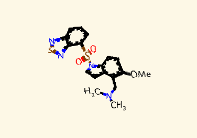 COc1ccc2c(ccn2S(=O)(=O)c2cccc3nsnc23)c1CN(C)C